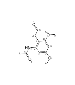 COc1cc(NC(C)=O)c(CC=O)c(OC)c1